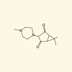 CN1CCN([C]2C(=O)C3C(C2=O)C3(C)C)CC1